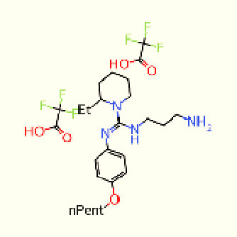 CCCCCOc1ccc(/N=C(\NCCCN)N2CCCCC2CC)cc1.O=C(O)C(F)(F)F.O=C(O)C(F)(F)F